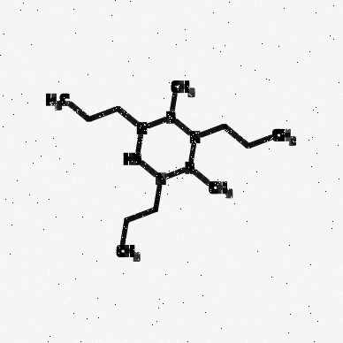 CCCN1BN(CCC)B(C)N(CCC)B1C